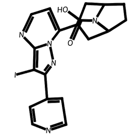 O=C(O)N1C2CCC1CC(c1ccnc3c(I)c(-c4ccncc4)nn13)C2